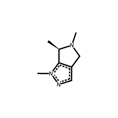 C[C@@H]1c2c(cnn2C)CN1C